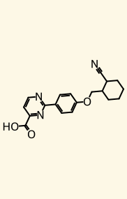 N#CC1CCCCC1COc1ccc(-c2nccc(C(=O)O)n2)cc1